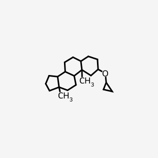 CC12CCCC1C1CCC3CCC(OC4CC4)CC3(C)C1CC2